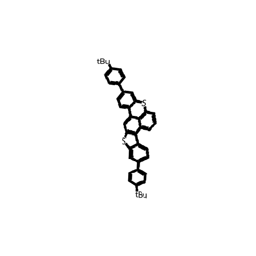 CC(C)(C)c1ccc(-c2ccc3c(c2)Sc2cccc4c2c-3cc2sc3cc(-c5ccc(C(C)(C)C)cc5)ccc3c24)cc1